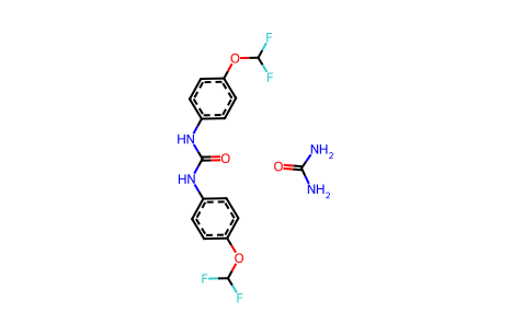 NC(N)=O.O=C(Nc1ccc(OC(F)F)cc1)Nc1ccc(OC(F)F)cc1